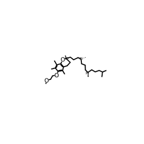 COCCOc1c(C)c(C)c2c(c1C)CC[C@@](C)(CCC[C@H](C)CCC[C@H](C)CCCC(C)C)O2